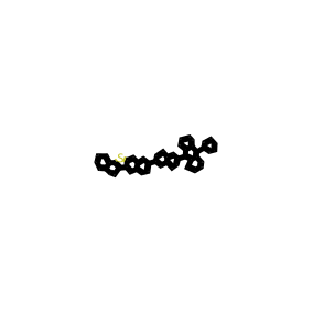 c1ccc(-c2c3ccccc3c(-c3ccc4cc(-c5ccc6cc7c(cc6c5)sc5c6ccccc6ccc75)ccc4c3)c3ccccc23)cc1